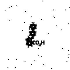 O=C(O)c1cccc2ccn(Cc3ccc(-c4ccccn4)cc3)c12